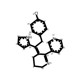 Clc1ccc(CC(=C2CCCN=C2c2cccnc2)c2ccc[nH]2)cc1